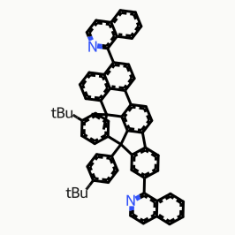 CC(C)(C)c1ccc(C2(c3ccc(C(C)(C)C)cc3)c3cc(-c4nccc5ccccc45)ccc3-c3ccc4c(c32)C(C)(C)c2cccc3c(-c5nccc6ccccc56)ccc-4c23)cc1